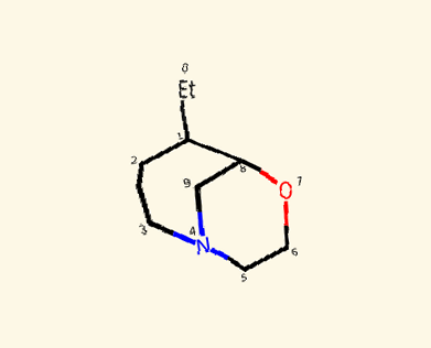 CCC1CCN2CCOC1C2